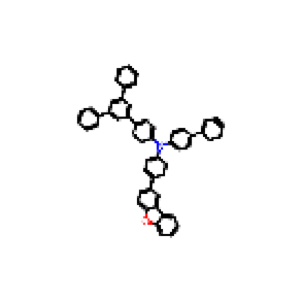 C1#CCCC(c2ccc(N(C3=CC=C(c4cc(-c5ccccc5)cc(-c5ccccc5)c4)CC3)C3=CC=C(c4ccc5oc6ccccc6c5c4)CC3)cc2)=C1